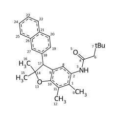 Cc1c(NC(=O)CC(C)(C)C)cc2c(c1C)OC(C)(C)C2c1ccc2ccccc2c1